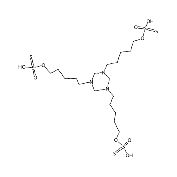 O=S(O)(=S)OCCCCCN1CN(CCCCCOS(=O)(O)=S)CN(CCCCCOS(=O)(O)=S)C1